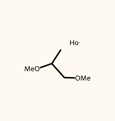 COCC(C)OC.[Ho]